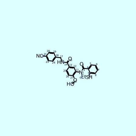 CCN(C(=O)c1ccccc1S)c1cc(C(=O)NCc2ccc(C#N)cc2)ccc1OO